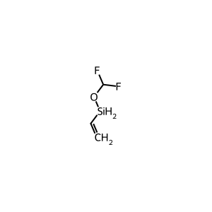 C=C[SiH2]OC(F)F